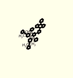 CC(C)(c1ccccc1)c1ccc2c(c1)N(c1ccccc1)c1cc(-c3cccc(-c4c5ccccc5c(-c5ccccc5)c5ccccc45)c3)cc3c1B2c1ccc(C(C)(C)c2ccccc2)cc1N3c1ccccc1